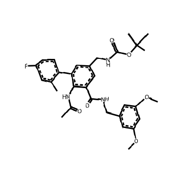 COc1cc(CNC(=O)c2cc(CNC(=O)OC(C)(C)C)cc(-c3ccc(F)cc3C)c2NC(C)=O)cc(OC)c1